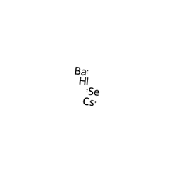 I.[Ba].[Cs].[Se]